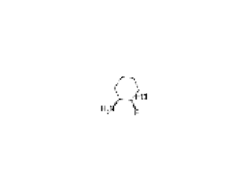 Cl.N[C@H]1CCCC[C@H]1F